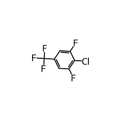 Fc1cc(C(F)(F)F)cc(F)c1Cl